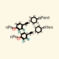 CCCCCC[C@H]1CC[C@H](C#Cc2ccc(OCCC)c(F)c2F)CC1.CCCCC[C@H]1CC[C@H](C#Cc2ccc(OCCC)c(F)c2F)CC1